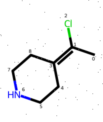 CC(Cl)=C1CCNCC1